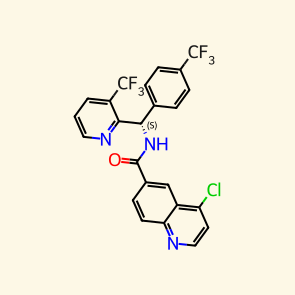 O=C(N[C@@H](c1ccc(C(F)(F)F)cc1)c1ncccc1C(F)(F)F)c1ccc2nccc(Cl)c2c1